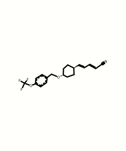 N#C/C=C/C=C/[C@H]1CC[C@H](OCc2ccc(OC(F)(F)F)cc2)CC1